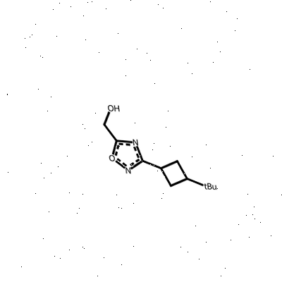 CC(C)(C)C1CC(c2noc(CO)n2)C1